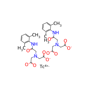 Cc1cccc(C)c1NC(=O)CN(CC(=O)[O-])CC(=O)[O-].Cc1cccc(C)c1NC(=O)CN(CC(=O)[O-])CC(=O)[O-].[Tc+4]